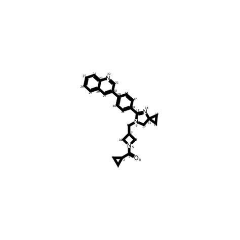 O=C(C1CC1)N1CC(CN2CC3(CC3)N=C2c2ccc(-c3cnc4ccccc4c3)cc2)C1